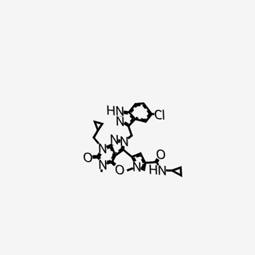 Cn1cc(C(=O)NC2CC2)cc1-c1c2c(=O)n(C)c(=O)n(CC3CC3)c2nn1Cc1n[nH]c2ccc(Cl)cc12